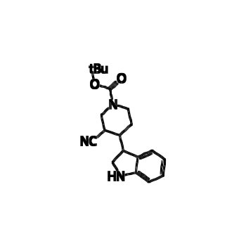 CC(C)(C)OC(=O)N1CCC(C2CNc3ccccc32)C(C#N)C1